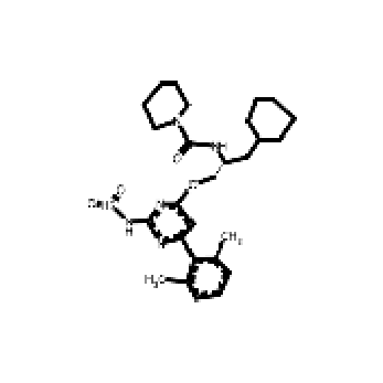 Cc1cccc(C)c1-c1cc(OC[C@@H](CC2CCCCC2)NC(=O)N2CCCCC2)nc(N[SH](=O)=O)n1